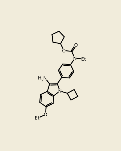 CCOc1ccc2c(N)c(-c3ccc(N(CC)C(=O)OC4CCCC4)cc3)n(C3CCC3)c2c1